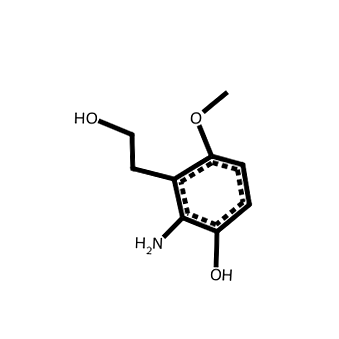 COc1ccc(O)c(N)c1CCO